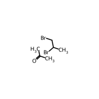 CC(Br)CBr.CC(C)=O